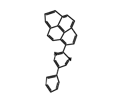 c1ccc(-c2cnc(-c3ccc4ccc5cccc6ccc3c4c56)nc2)cc1